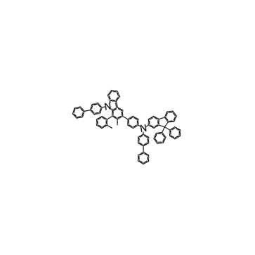 Cc1ccccc1-c1c(C)c(-c2ccc(N(c3ccc(-c4ccccc4)cc3)c3ccc4c(c3)C(c3ccccc3)(c3ccccc3)c3ccccc3-4)cc2)cc2c3ccccc3n(-c3ccc(-c4ccccc4)cc3)c12